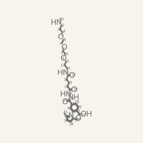 CNCCCOCCOCCOCCCNC(=O)CCCC(=O)NNC(=O)c1ccc(C(=O)O)c(-n2c(C)ccc2C)c1